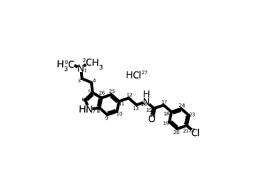 CN(C)CCc1c[nH]c2ccc(CCNC(=O)Cc3ccc(Cl)cc3)cc12.Cl